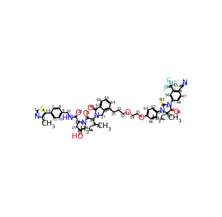 Cc1ncsc1-c1ccc(CNC(=O)[C@@H]2C[C@@H](O)CN2C(=O)[C@H](C(C)C)N2Cc3c(CCCOCCOc4ccc(N5C(=S)N(c6ccc(C#N)c(C(F)(F)F)c6)C(=O)C5(C)C)cc4)cccc3C2=O)cc1